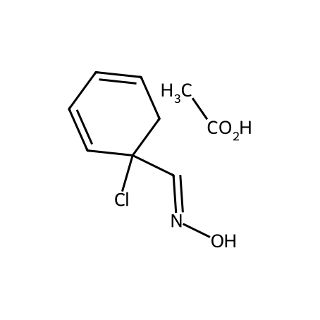 CC(=O)O.ON=CC1(Cl)C=CC=CC1